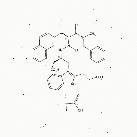 CCN(N[C@H](CC(=O)O)Cc1c(CCC(=O)O)[nH]c2ccccc12)[C@@H](Cc1ccc2ccccc2c1)C(=O)N(C)Cc1ccccc1.O=C(O)C(F)(F)F